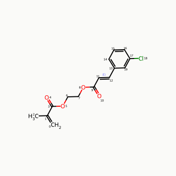 C=C(C)C(=O)OCCOC(=O)/C=C/c1cccc(Cl)c1